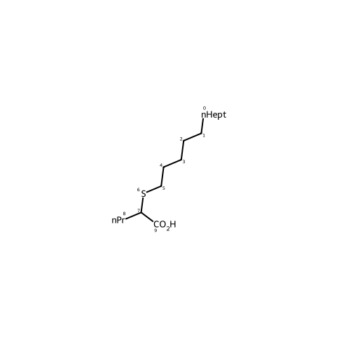 CCCCCCCCCCCCSC(CCC)C(=O)O